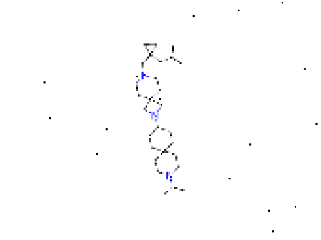 CC(C)CC1(CN2CCC3(CC2)CN(C2CCC4(CC2)CCN(C(C)C)CC4)C3)CC1